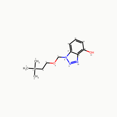 C[Si](C)(C)CCOCn1nnc2c(O)cccc21